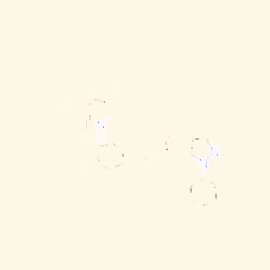 COCP(=O)(NC(C)C(=O)OC(C)C)Oc1cc(COC(=O)Oc2cc(C)nn2-c2ccccc2)ccc1OC